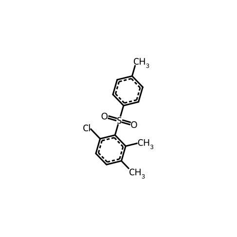 Cc1ccc(S(=O)(=O)c2c(Cl)ccc(C)c2C)cc1